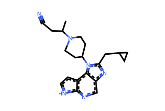 CC(CC#N)N1CCC(n2c(CC3CC3)nc3cnc4[nH]ccc4c32)CC1